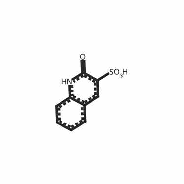 O=c1[nH]c2ccccc2cc1S(=O)(=O)O